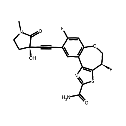 CN1CC[C@@](O)(C#Cc2cc3c(cc2F)OC[C@@H](F)c2sc(C(N)=O)nc2-3)C1=O